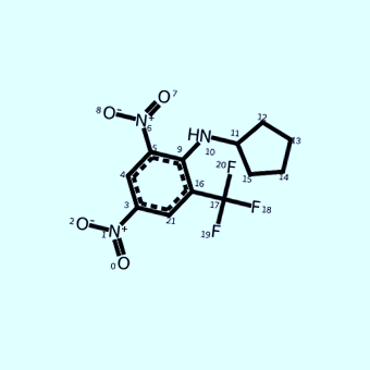 O=[N+]([O-])c1cc([N+](=O)[O-])c(NC2CCCC2)c(C(F)(F)F)c1